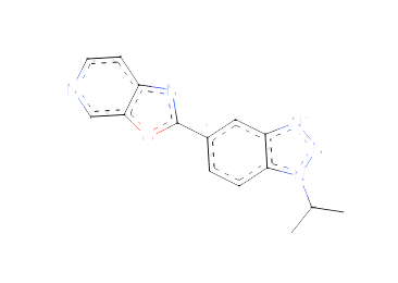 CC(C)n1nnc2cc(-c3nc4ccncc4o3)ccc21